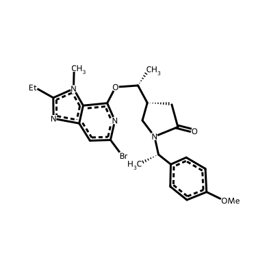 CCc1nc2cc(Br)nc(O[C@H](C)[C@@H]3CC(=O)N([C@@H](C)c4ccc(OC)cc4)C3)c2n1C